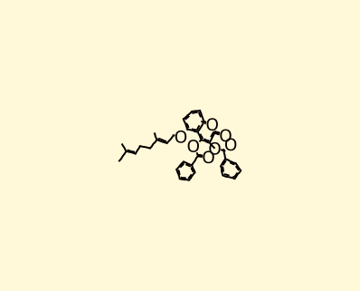 CC(C)=CCC/C(C)=C/COc1cccc2oc(=O)c(OC(=O)c3ccccc3)c(OC(=O)c3ccccc3)c12